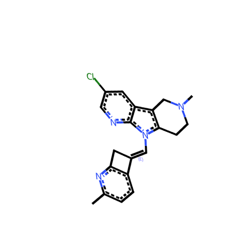 Cc1ccc2c(n1)C/C2=C\n1c2c(c3cc(Cl)cnc31)CN(C)CC2